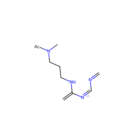 C=N/C=N\C(=C)NCCCN(C)C(C)=O